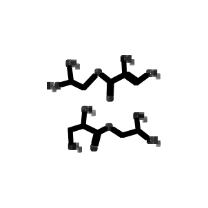 C/C=C(\C)C(=O)OCC(C)C.CCC(C)C(=O)OCC(C)C